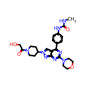 CNC(=O)Nc1ccc(-c2nc(N3CCOCC3)nc3nn(C4CCN(C(=O)CO)CC4)cc23)cc1